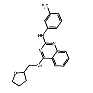 FC(F)(F)c1cccc(Nc2nc(NCC3CCCO3)c3ccccc3n2)c1